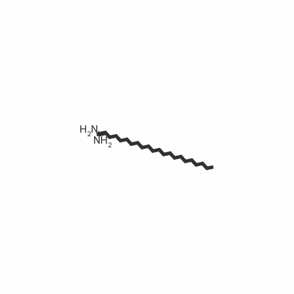 CCCCCCCCCCCCCCCCCCCCC=C(N)N